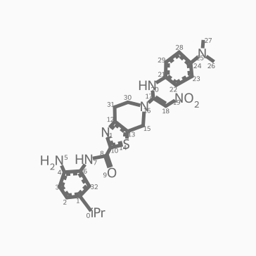 CC(C)c1ccc(N)c(NC(=O)c2nc3c(s2)CN(C(=C[N+](=O)[O-])Nc2ccc(N(C)C)cc2)CC3)c1